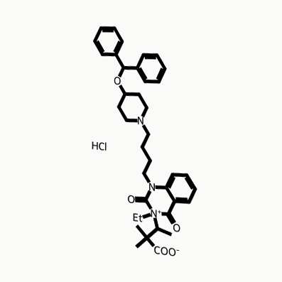 CC[N+]1(C(C)C(C)(C)C(=O)[O-])C(=O)c2ccccc2N(CCCCN2CCC(OC(c3ccccc3)c3ccccc3)CC2)C1=O.Cl